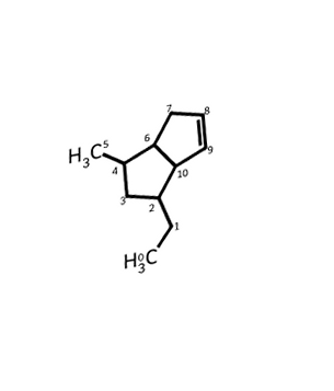 CCC1CC(C)C2CC=CC12